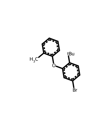 Cc1ccccc1Oc1cc(Br)ccc1C(C)(C)C